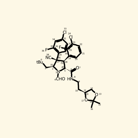 CC(C)(C)C[C@@H]1N(C=O)[C@@H](C(=O)NCC[C@H]2COC(C)(C)O2)[C@H](c2cccc(Cl)c2F)[C@@]1(C#N)c1ccc(Cl)cc1F